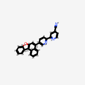 N#Cc1ccnc(-c2ccc(-c3cc4oc5ccccc5c4c4ccccc34)cn2)c1